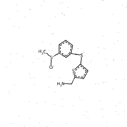 C[S+]([O-])c1cccc(Sc2ccc(CN)s2)c1